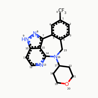 FC(F)(F)c1ccc2c(c1)-c1n[nH]c3ccnc(c13)N(C1CCOCC1)C2